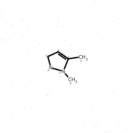 CC1=CC[N]N1C